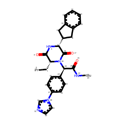 CC(C)C[C@@H]1C(=O)N[C@H](C2Cc3ccccc3C2)C(=O)N1[C@@H](C(=O)NC(C)(C)C)c1ccc(-n2ccnc2)cc1